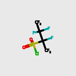 O=S(=O)(Cl)C(F)(C(F)(F)F)C(F)(F)C(F)(F)F